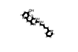 O=c1[nH]c(NCCCCc2ccccn2)ncc1Cc1cc(O)ccn1